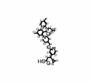 Cc1ccnc(N(CC(F)F)C(=O)c2ccc(C)cc2N2CCC(COc3cc(C(CC(=O)O)C4CC4)ccn3)CC2)c1